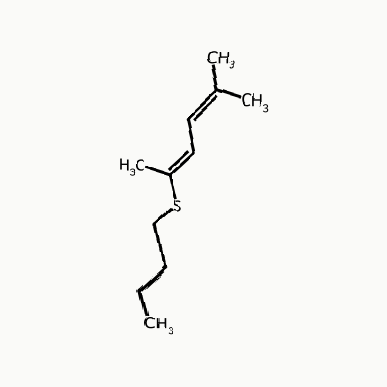 CCCCS/C(C)=C/C=C(C)C